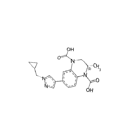 C[C@H]1CN(C(=O)O)c2cc(-c3cnn(CC4CC4)c3)ccc2N1C(=O)O